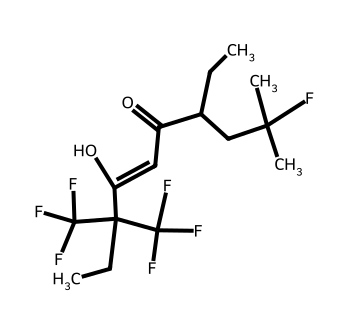 CCC(CC(C)(C)F)C(=O)/C=C(\O)C(CC)(C(F)(F)F)C(F)(F)F